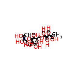 C/C(O)=C(/O)C(O)OC(C(O)CCOC(O)C(O)C(O)C(C)O)C(O)C(O)O